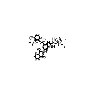 COC(C)(C)CNc1nc2c(C(=O)Nc3cccc(Cl)c3C)cc(NC(=O)c3ccccc3C(F)(F)F)cc2[nH]1